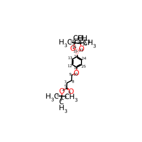 CC(C)(C)OC(=O)CCCOc1ccc(B2OC(C)(C)C(C)(C)O2)cc1